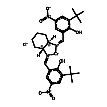 CC(C)(C)c1cc([N+](=O)[O-])cc(C=[N+]2[Cr][N+](=Cc3cc([N+](=O)[O-])cc(C(C)(C)C)c3O)[C@@H]3CCCC[C@H]32)c1O.[Cl-]